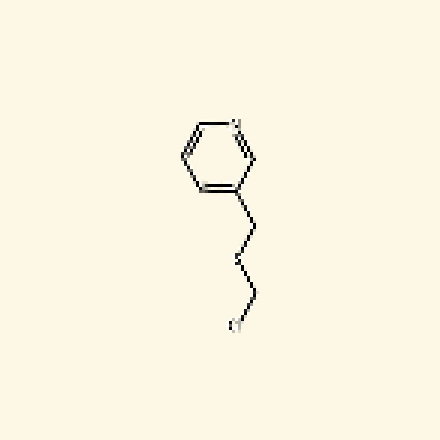 ClCSCc1cccnc1